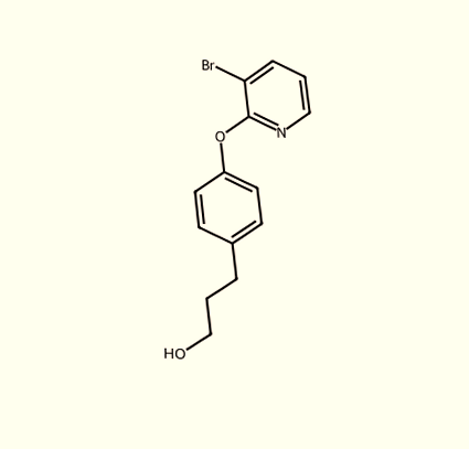 OCCCc1ccc(Oc2ncccc2Br)cc1